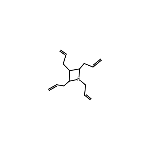 C=CCC1C(CC=C)N(CC=C)C1CC=C